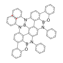 c1ccc(N2B3c4c5c(cc6c4-c4c(ccc7c4B(Oc4ccccc4-7)N6c4ccccc4)N3c3ccccc3)N(c3ccccc3)B3Oc4ccccc4-c4ccc2c-5c43)cc1